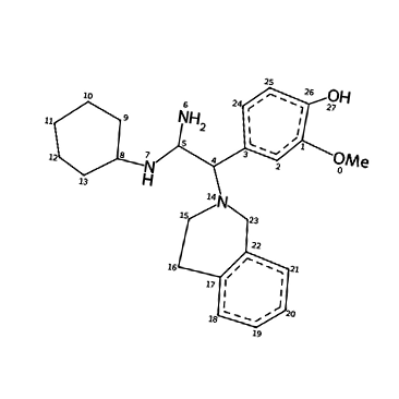 COc1cc(C(C(N)NC2CCCCC2)N2CCc3ccccc3C2)ccc1O